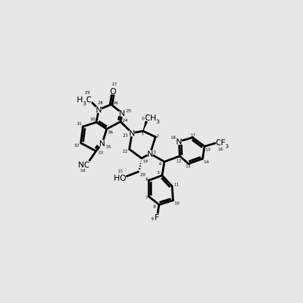 C[C@H]1CN(C(c2ccc(F)cc2)c2ccc(C(F)(F)F)cn2)[C@H](CO)CN1c1nc(=O)n(C)c2ccc(C#N)nc12